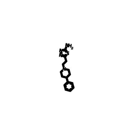 Nc1nnc(CCN2CCC(c3ccccc3)CC2)s1